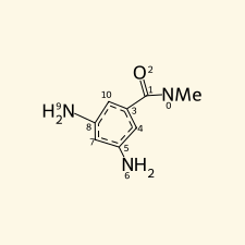 CNC(=O)c1cc(N)cc(N)c1